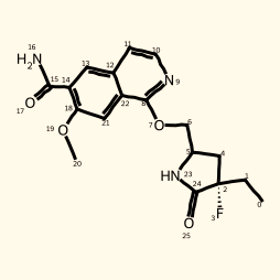 CC[C@]1(F)CC(COc2nccc3cc(C(N)=O)c(OC)cc23)NC1=O